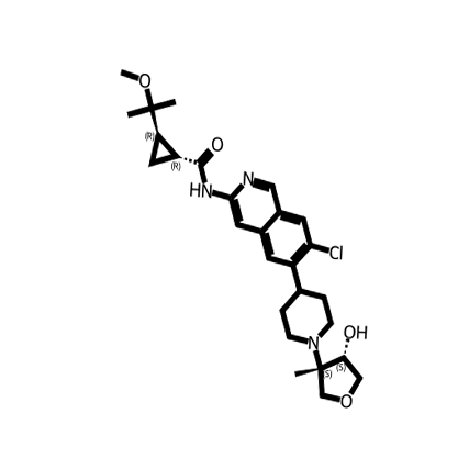 COC(C)(C)[C@@H]1C[C@H]1C(=O)Nc1cc2cc(C3CCN([C@@]4(C)COC[C@H]4O)CC3)c(Cl)cc2cn1